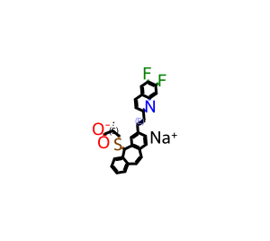 C[C@H](CSC1c2ccccc2C=Cc2ccc(/C=C/c3ccc4cc(F)c(F)cc4n3)cc21)C(=O)[O-].[Na+]